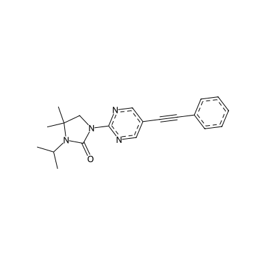 CC(C)N1C(=O)N(c2ncc(C#Cc3ccccc3)cn2)CC1(C)C